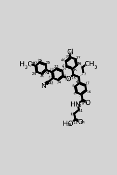 CCC[C@H](c1ccc(C(=O)NCCC(=O)O)cc1)C(Oc1ccc(-c2ccc(C)cc2)c(C#N)c1)c1ccc(Cl)cc1